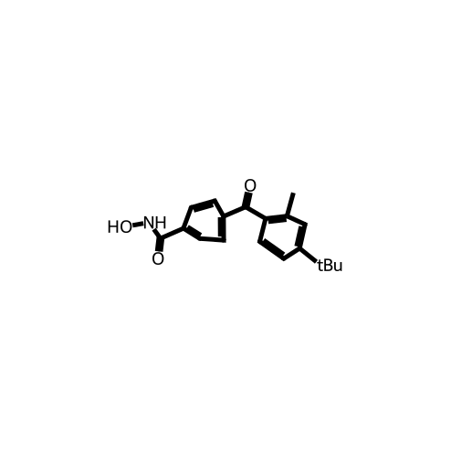 Cc1cc(C(C)(C)C)ccc1C(=O)c1ccc(C(=O)NO)cc1